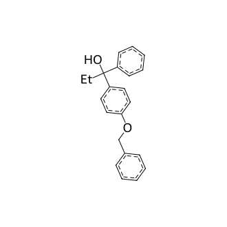 CCC(O)(c1ccccc1)c1ccc(OCc2ccccc2)cc1